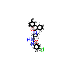 Cc1cccc(-c2ccccc2C(=O)N2CCC(Nc3nc4ccc(Cl)cc4o3)C2)c1